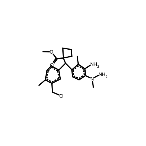 COC(=O)C1(C(c2ccc(C)c(CCl)c2)c2ccc(N(C)N)c(N)c2C)CCC1